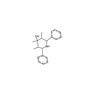 CC1C(c2ccccc2)NC(c2ccccc2)C(C)C1(C)O